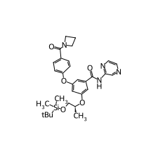 C[C@@H](CO[Si](C)(C)C(C)(C)C)Oc1cc(Oc2ccc(C(=O)N3CCC3)cc2)cc(C(=O)Nc2cnccn2)c1